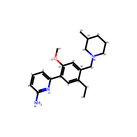 CCc1cc(-c2cccc(N)n2)c(OC)cc1CN1CCCC(C)C1